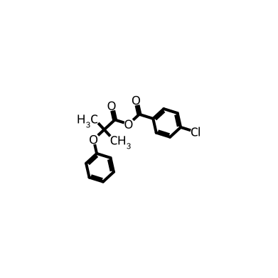 CC(C)(Oc1ccccc1)C(=O)OC(=O)c1ccc(Cl)cc1